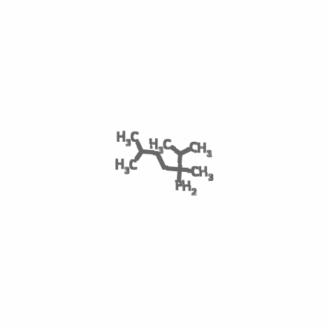 CC(C)CCC(C)(P)C(C)C